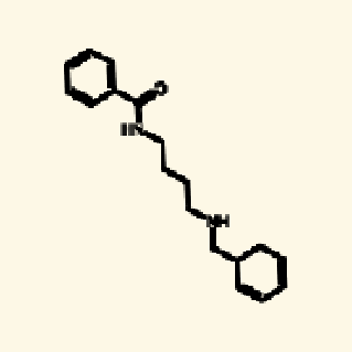 O=C(NCCCCNCC1C=CC=CC1)c1ccccc1